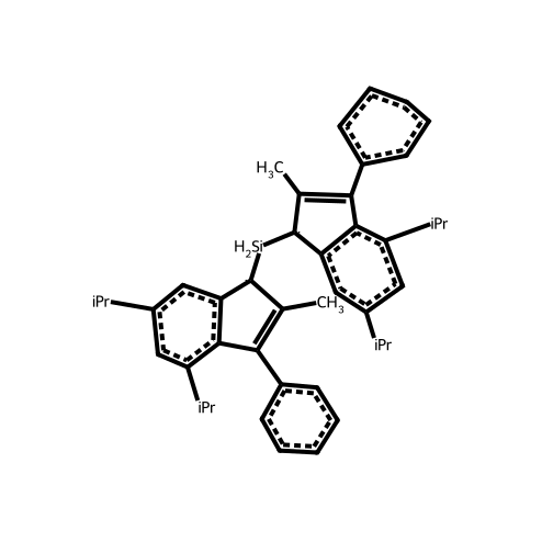 CC1=C(c2ccccc2)c2c(cc(C(C)C)cc2C(C)C)[C]1[SiH2][C]1C(C)=C(c2ccccc2)c2c1cc(C(C)C)cc2C(C)C